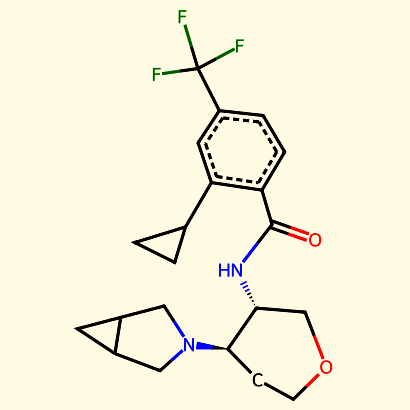 O=C(N[C@@H]1COCC[C@H]1N1CC2CC2C1)c1ccc(C(F)(F)F)cc1C1CC1